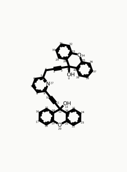 OC1(C#CCc2cccc(C#CC3(O)c4ccccc4Oc4ccccc43)n2)c2ccccc2Oc2ccccc21